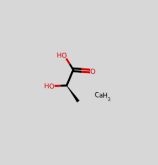 C[C@@H](O)C(=O)O.[CaH2]